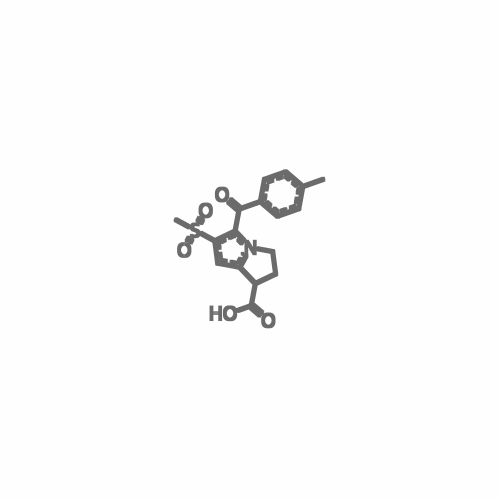 Cc1ccc(C(=O)c2c(S(C)(=O)=O)cc3n2CCC3C(=O)O)cc1